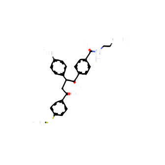 CC(C)(C)c1ccc(C(CC(=O)c2ccc(SC(F)(F)F)cc2)C(=O)c2ccc(C(=O)NCCC(=O)O)cc2)cc1